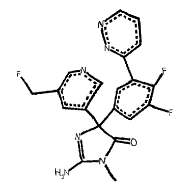 CN1C(=O)C(c2cncc(CF)c2)(c2cc(F)c(F)c(-c3cccnn3)c2)N=C1N